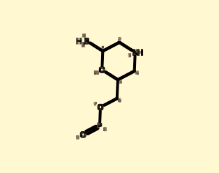 BC1CNCC(COP=O)O1